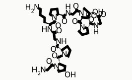 NCCCC[C@H](NC(=O)CNC(=O)[C@@H]1CCCN1C(=O)[C@@H]1C[C@@H](O)CN1C(=O)CN)C(=O)N1CCC[C@H]1C(=O)NCC(=O)N1C[C@H](O)C[C@H]1C(=O)N1CCC[C@H]1C(=O)NCC(=O)O